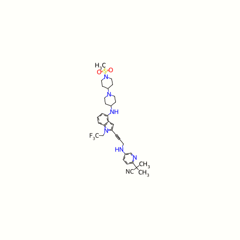 CC(C)(C#N)c1ccc(NCC#Cc2cc3c(NC4CCN(C5CCN(S(C)(=O)=O)CC5)CC4)cccc3n2CC(F)(F)F)cn1